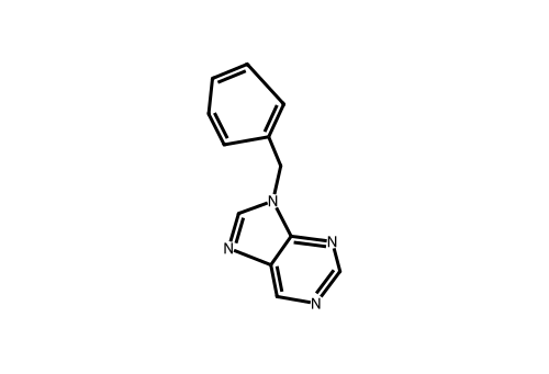 c1ccc(Cn2cnc3cncnc32)cc1